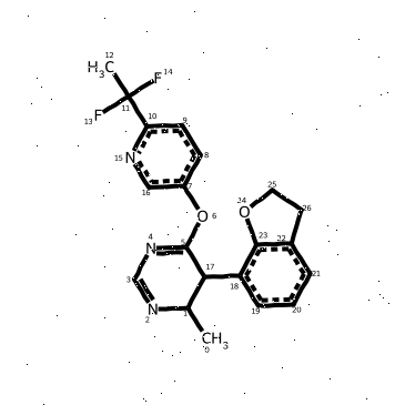 CC1N=CN=C(Oc2ccc(C(C)(F)F)nc2)C1c1cccc2c1OCC2